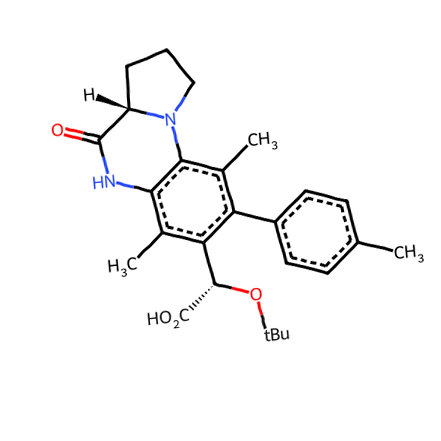 Cc1ccc(-c2c(C)c3c(c(C)c2[C@H](OC(C)(C)C)C(=O)O)NC(=O)[C@@H]2CCCN32)cc1